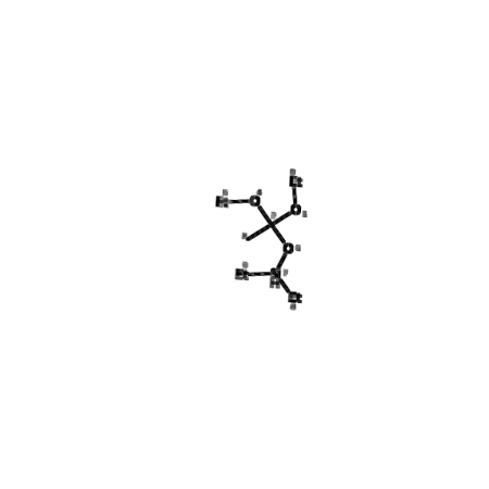 CCOC(C)(OCC)O[SiH](CC)CC